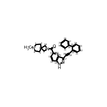 CN1CCC2(CC1)CN(C(=O)c1ccc3[nH]nc(C#Cc4ccccc4-c4ccccc4)c3n1)C2